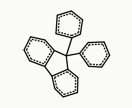 [c]1ccc2c(c1)-c1ccccc1C2(c1ccccc1)c1ccccc1